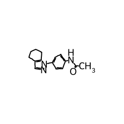 CC(=O)Nc1ccc(-n2ncc3c2CCCC3)cc1